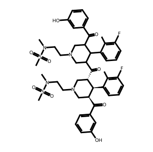 Cc1c(F)cccc1C1C(C(=O)c2cccc(O)c2)CN(CCN(C)S(C)(=O)=O)CC1C(=O)[C@H]1CN(CCN(C)S(C)(=O)=O)C[C@H](C(=O)c2cccc(O)c2)[C@@H]1c1cccc(F)c1C